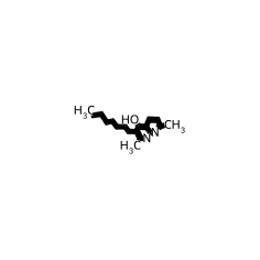 CCCCCCCCc1c(C)nc2nc(C)ccc2c1O